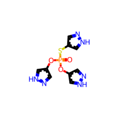 O=P(Oc1cn[nH]c1)(Oc1cn[nH]c1)Sc1cn[nH]c1